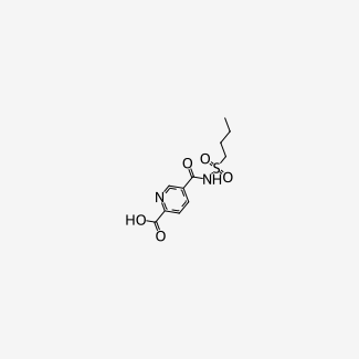 CCCCS(=O)(=O)NC(=O)c1ccc(C(=O)O)nc1